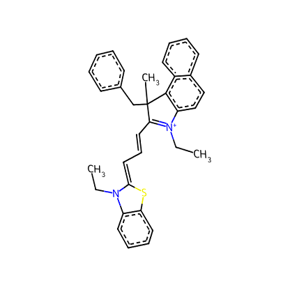 CCN1/C(=C/C=C/C2=[N+](CC)c3ccc4ccccc4c3C2(C)Cc2ccccc2)Sc2ccccc21